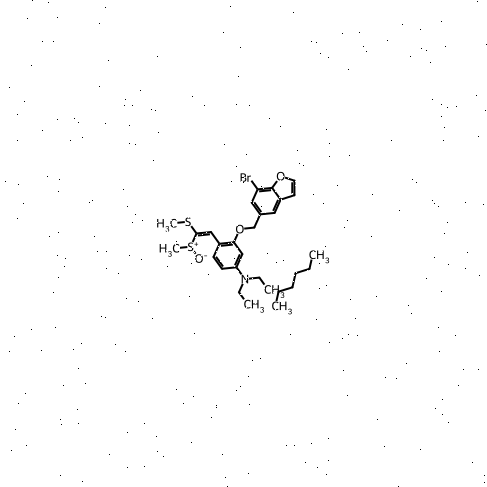 CCCCCC.CCN(CC)c1ccc(C=C(SC)[S+](C)[O-])c(OCc2cc(Br)c3occc3c2)c1